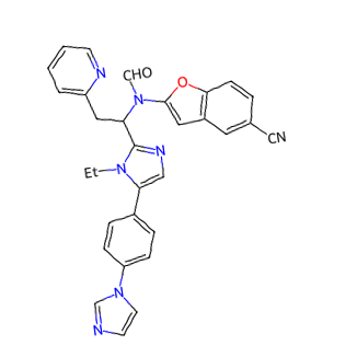 CCn1c(-c2ccc(-n3ccnc3)cc2)cnc1C(Cc1ccccn1)N(C=O)c1cc2cc(C#N)ccc2o1